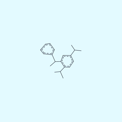 CC(C)c1ccc(C(C)C)c(C(C)c2ccccc2)c1